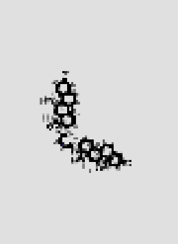 C[C@]12CCC(=O)C=C1CCC1[C@@H]2[C@@H](O)C[C@@]2(C)[C@H]1CCC[C@@]2(C=O)OC(=O)/C=C\C(=O)O[C@]1(C=O)CCC[C@H]2C3CCC4=CC(=O)CC[C@]4(C)[C@H]3[C@@H](O)C[C@@]21C